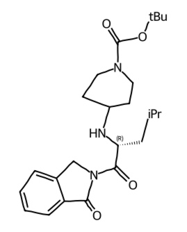 CC(C)C[C@@H](NC1CCN(C(=O)OC(C)(C)C)CC1)C(=O)N1Cc2ccccc2C1=O